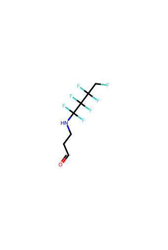 O=[C]CCNC(F)(F)C(F)(F)C(F)(F)CF